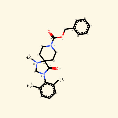 Cc1cccc(C)c1N1CN(C)C2(CCN(C(=O)OCc3ccccc3)CC2)C1=O